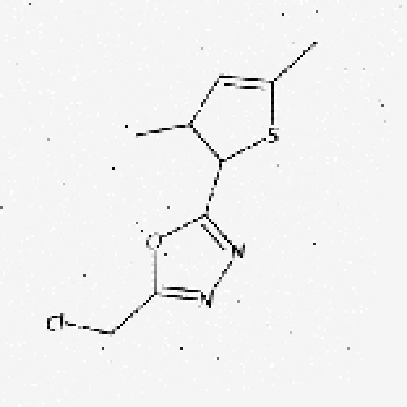 CC1=CC(C)C(c2nnc(CCl)o2)S1